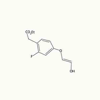 CCOC(=O)Cc1ccc(OC=CO)cc1F